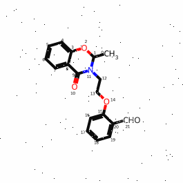 CC1Oc2ccccc2C(=O)N1CCOc1ccccc1C=O